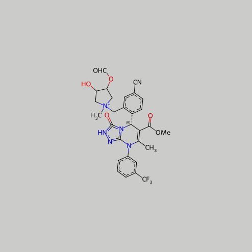 COC(=O)C1=C(C)N(c2cccc(C(F)(F)F)c2)c2n[nH]c(=O)n2[C@@H]1c1ccc(C#N)cc1C[N+]1(C)CC(O)C(OC=O)C1